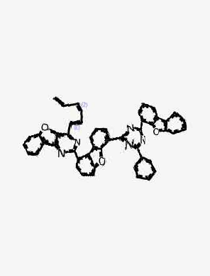 C=C/C=C\C=C\c1nc(-c2cccc3oc4c(-c5nc(-c6ccccc6)nc(-c6cccc7c6oc6ccccc67)n5)cccc4c23)nc2c1oc1ccccc12